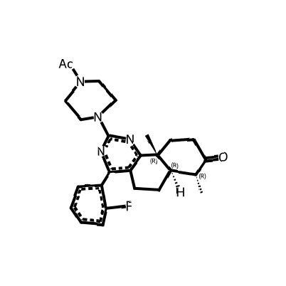 CC(=O)N1CCN(c2nc(-c3ccccc3F)c3c(n2)[C@]2(C)CCC(=O)[C@H](C)[C@H]2CC3)CC1